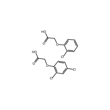 O=C(O)COc1ccc(Cl)cc1Cl.O=C(O)COc1ccccc1Cl